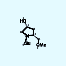 COC[C@H]1C[C@@H](O)CN1C(C)(C)C